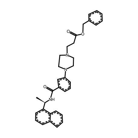 C[C@@H](NC(=O)c1cccc(N2CCN(CCC(=O)OCc3ccccc3)CC2)c1)c1cccc2ccccc12